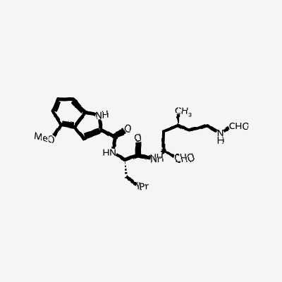 COc1cccc2[nH]c(C(=O)N[C@@H](CC(C)C)C(=O)N[C@H](C=O)C[C@@H](C)CCNC=O)cc12